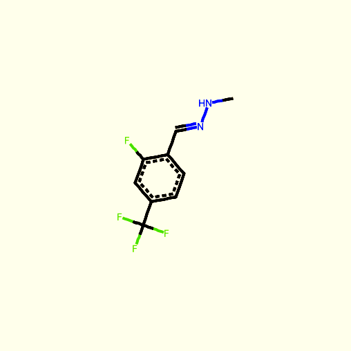 CN/N=C/c1ccc(C(F)(F)F)cc1F